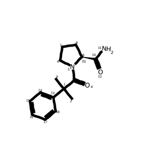 CC(C)(C(=O)N1CCC[C@H]1C(N)=O)c1ccccc1